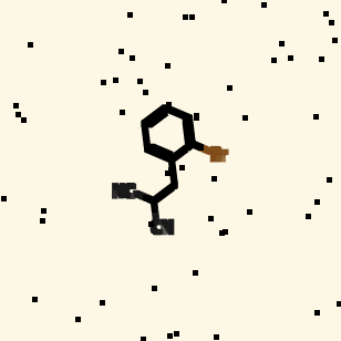 N#CC(C#N)Cc1ccccc1Br